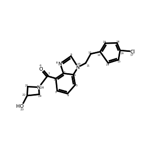 O=C(c1cccc2c1n[c]n2CCc1ccc(Cl)cc1)N1CC(O)C1